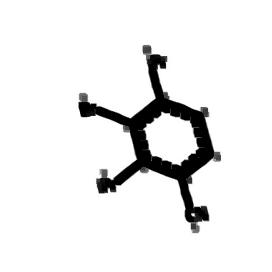 CC(C)c1ccc(C#N)c(C(C)C)c1Br